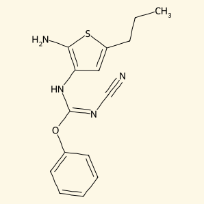 CCCc1cc(NC(=NC#N)Oc2ccccc2)c(N)s1